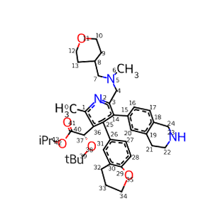 Cc1nc(CN(C)CC2CCOCC2)c(-c2ccc3c(c2)CCNC3)c(-c2ccc3c(c2)CCCO3)c1[C@H](OC(C)(C)C)C(=O)OC(C)C